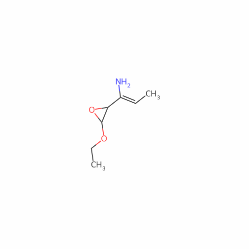 C/C=C(\N)C1OC1OCC